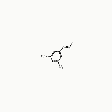 CN=Cc1cc(C(F)(F)F)cc(C(F)(F)F)c1